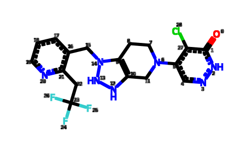 O=c1[nH]ncc(N2CCC3=C(C2)NNN3Cc2cccnc2CC(F)(F)F)c1Cl